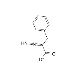 N=[N+]=C(Cc1ccccc1)C(=O)[O-]